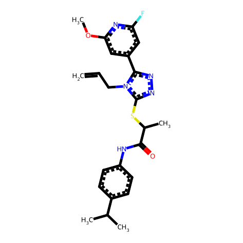 C=CCn1c(SC(C)C(=O)Nc2ccc(C(C)C)cc2)nnc1-c1cc(F)nc(OC)c1